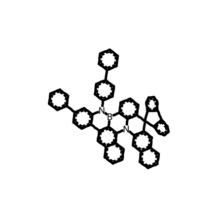 c1ccc(-c2ccc(N3B4c5cccc6c5N(c5cc7ccccc7cc5C65c6ccccc6-c6ccccc65)c5c4c(cc4ccccc54)-c4ccc(-c5ccccc5)cc43)cc2)cc1